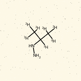 [2H]C([2H])([2H])C([2H])(NN)C([2H])([2H])[2H]